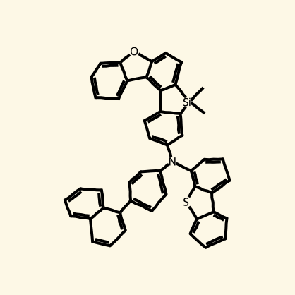 C[Si]1(C)c2cc(N(c3ccc(-c4cccc5ccccc45)cc3)c3cccc4c3sc3ccccc34)ccc2-c2c1ccc1oc3ccccc3c21